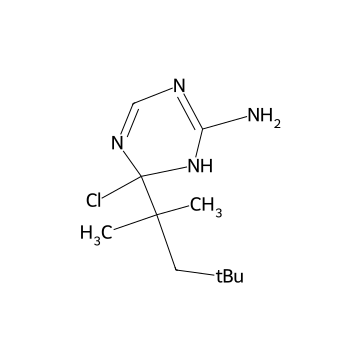 CC(C)(C)CC(C)(C)C1(Cl)N=CN=C(N)N1